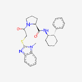 Cn1c(SCC(=O)N2CCC[C@H]2C(=O)N[C@@H]2CCCC[C@H]2c2ccccc2)nc2ccccc21